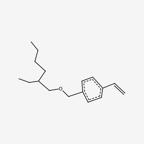 C=Cc1ccc(COCC(CC)CCCC)cc1